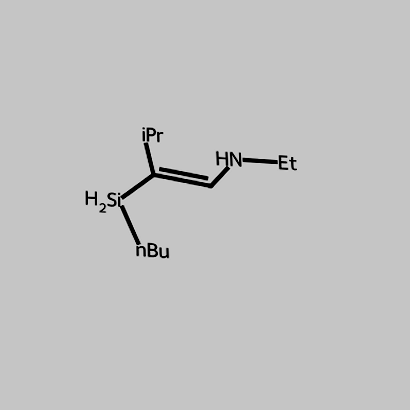 CCCC[SiH2]C(=CNCC)C(C)C